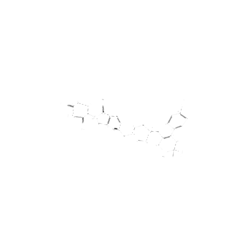 CC1(C)CC(c2ccc(Cl)cc2)=C(CN2CCN(Cc3ccc4c(c3)CN(C3CCC(=O)NC3=O)C4=O)CC2)CO1